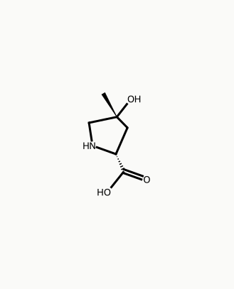 C[C@]1(O)CN[C@@H](C(=O)O)C1